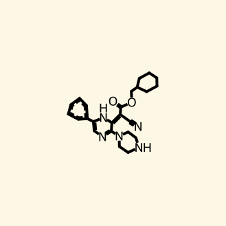 N#CC(C(=O)OCC1CCCCC1)=C1NC(c2ccccc2)=CN=C1N1CCNCC1